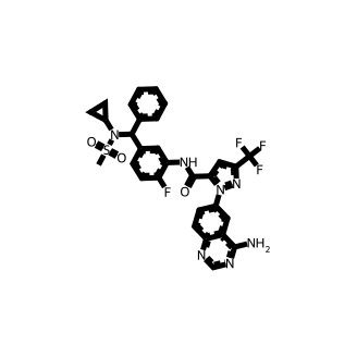 CS(=O)(=O)N(C1CC1)C(c1ccccc1)c1ccc(F)c(NC(=O)c2cc(C(F)(F)F)nn2-c2ccc3ncnc(N)c3c2)c1